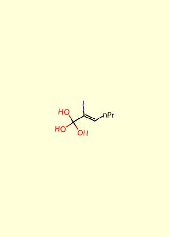 CCCC=C(I)C(O)(O)O